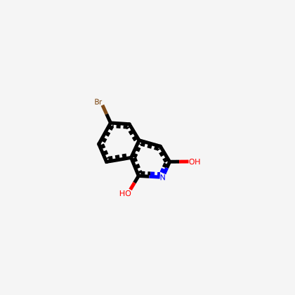 Oc1cc2cc(Br)ccc2c(O)n1